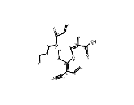 C=CC(=O)OCCCC.C=CC(C#N)=C(CC)OC=C(C)C(=O)O